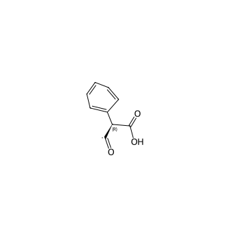 O=[C][C@H](C(=O)O)c1ccccc1